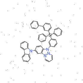 C1=CN2c3cc(-n4c5ccccc5c5ccccc54)ccc3N(c3cccc([Si](c4ccccc4)(c4ccccc4)c4cccc(-c5ccccc5)c4)c3)N2C=C1